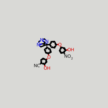 N#Cc1ccc(Oc2ccc([C@@]3(c4ccc(Oc5ccc([N+](=O)[O-])c(O)c5)cc4)C4CN5CN(C4)CN3C5)cc2)cc1O